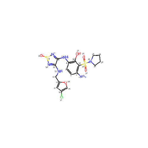 Nc1ccc(Nc2n[s+]([O-])nc2NCc2cc(Cl)co2)c(O)c1S(=O)(=O)N1CCCC1